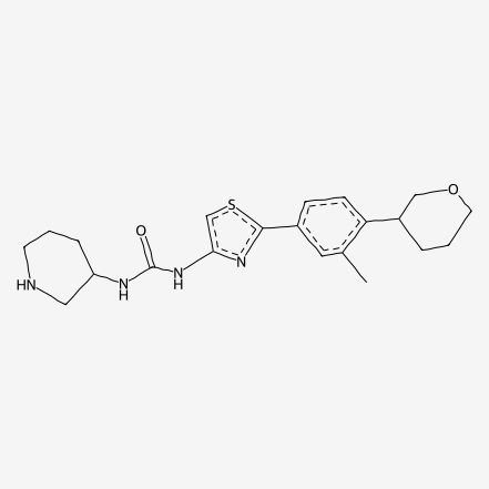 Cc1cc(-c2nc(NC(=O)NC3CCCNC3)cs2)ccc1C1CCCOC1